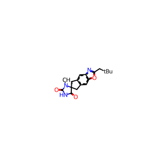 CN1C(=O)NC(=O)C12Cc1cc3nc(CC(C)(C)C)oc3cc1C2